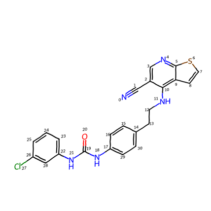 N#Cc1cnc2sccc2c1NCCc1ccc(NC(=O)Nc2cccc(Cl)c2)cc1